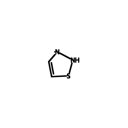 C1=CSN[N]1